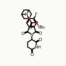 CC(C)(C)OC(=O)N1CC2CC(C1)N2c1cc2c(cc1F)C(=O)N(C1CCC(=O)NC1=O)C2=O